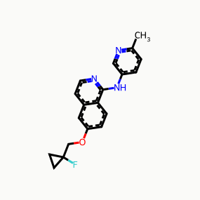 Cc1ccc(Nc2nccc3cc(OCC4(F)CC4)ccc23)cn1